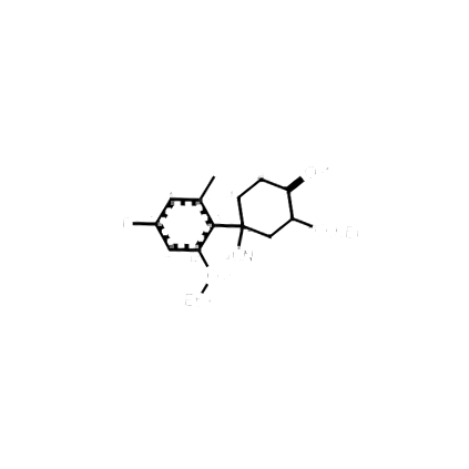 CCOC(=O)C1CC(C#N)(c2c(C)cc(F)cc2OCC)CCC1=O